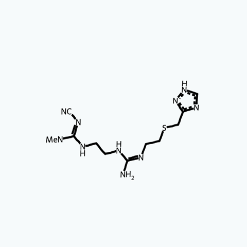 CNC(=NC#N)NCCNC(N)=NCCSCc1nc[nH]n1